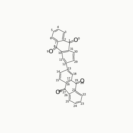 O=C1c2ccccc2C(=O)c2cc(-c3ccc4c(c3)C(=O)c3ccccc3C4=O)ccc21